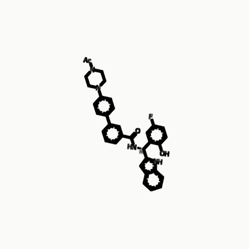 CC(=O)N1CCN(c2ccc(-c3cccc(C(=O)N[C@@H](c4cc5ccccc5[nH]4)c4cc(F)ccc4O)c3)cc2)CC1